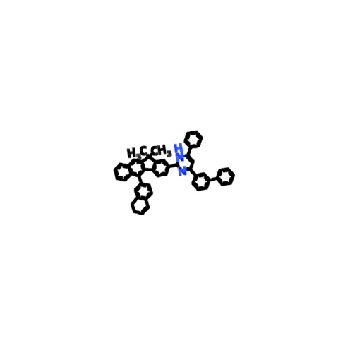 CC1(C)c2cc(C3N=C(c4cccc(-c5ccccc5)c4)C=C(c4ccccc4)N3)ccc2-c2c1cc1ccccc1c2-c1ccc2c(c1)CCC=C2